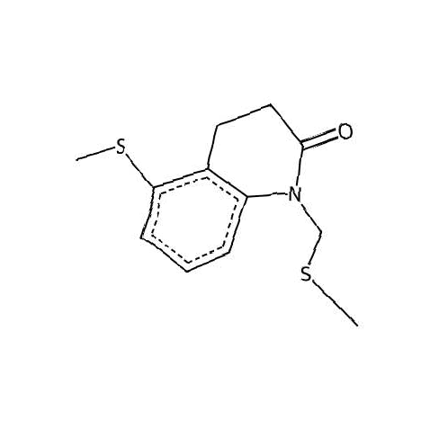 CSCN1C(=O)CCc2c(SC)cccc21